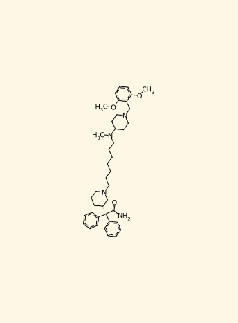 COc1cccc(OC)c1CN1CCC(N(C)CCCCCCCN2CCC[C@@H](C(C(N)=O)(c3ccccc3)c3ccccc3)C2)CC1